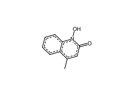 Cc1cc(=O)n(O)c2ccccc12